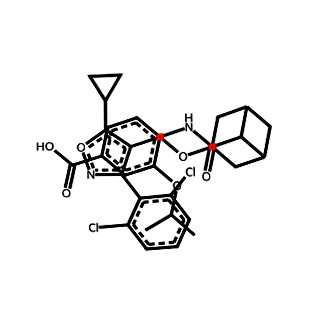 CC(C)Oc1cc(C(=O)O)ccc1NC(=O)C1C2CC(OCc3c(-c4c(Cl)cccc4Cl)noc3C3CC3)CC1C2